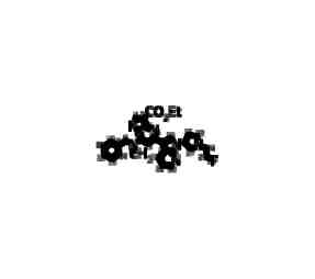 CCOC(=O)c1cnn2c(N(C)Cc3ccccc3)cc(-c3cn([C@@H]4CCN(CCF)C4)c4ncccc34)nc12